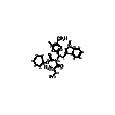 Cc1oc([C@@H](Cc2cn(C)c3ccccc23)N(C(=O)OC2CCCCC2)C(=O)[C@@H](N)CC(C)C)nc1C(=O)O